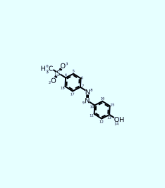 CS(=O)(=O)c1ccc(/N=N/c2ccc(O)cc2)cc1